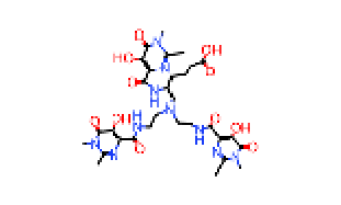 Cc1nc(C(=O)NCCN(CCNC(=O)c2nc(C)n(C)c(=O)c2O)CC(CCCC(=O)O)NC(=O)c2nc(C)n(C)c(=O)c2O)c(O)c(=O)n1C